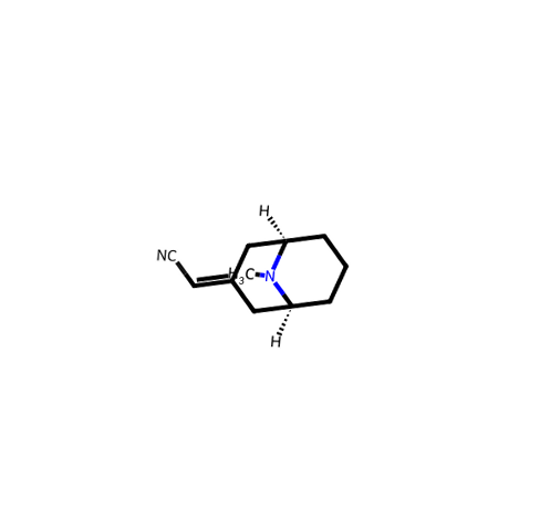 CN1[C@@H]2CCC[C@H]1CC(=CC#N)C2